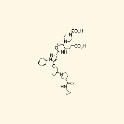 O=C(O)CCC(NC(=O)c1cc(OCC(=O)N2CCC(C(=O)NC3CC3)C2)n(-c2ccccc2)n1)C(=O)N1CCN(C(=O)O)CC1